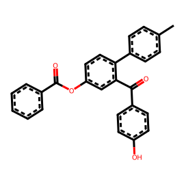 Cc1ccc(-c2ccc(OC(=O)c3ccccc3)cc2C(=O)c2ccc(O)cc2)cc1